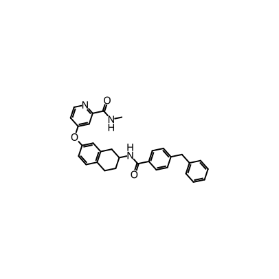 CNC(=O)c1cc(Oc2ccc3c(c2)CC(NC(=O)c2ccc(Cc4ccccc4)cc2)CC3)ccn1